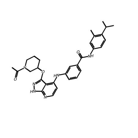 CC(=O)N1CCCC(Oc2n[nH]c3nccc(Nc4cccc(C(=O)Nc5ccc(C(C)C)c(C)c5)c4)c23)C1